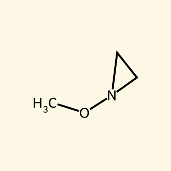 CON1CC1